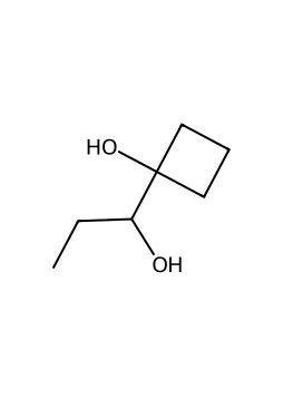 CCC(O)C1(O)CCC1